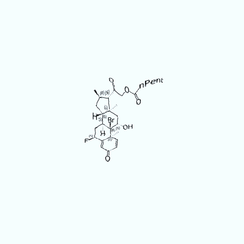 CCCCCC(=O)OCC(=O)[C@H]1[C@H](C)C[C@H]2[C@@H]3C[C@H](F)C4=CC(=O)C=C[C@]4(C)[C@@]3(Br)[C@@H](O)C[C@@]21C